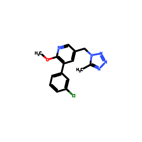 COc1ncc(Cn2nnnc2C)cc1-c1cccc(Cl)c1